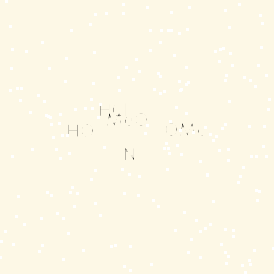 COC(CN(C)CCO)OC.Cl